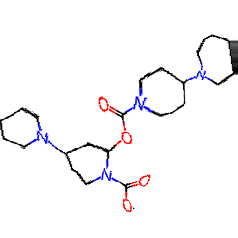 [O]C(=O)N1CCC(N2CCCCC2)CC1OC(=O)N1CCC(N2CCCCC2)CC1